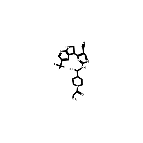 CC(Nc1ncc(C#N)c(C2CNc3ncc(C(F)(F)F)cc32)n1)C1CCN(C(=O)CN)CC1